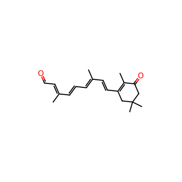 CC(C=CC=C(C)C=CC1=C(C)C(=O)CC(C)(C)C1)=CC=O